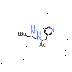 CC(=O)[C@H](Cc1cccnc1)NC[C@@H](N)CC(C)(C)C